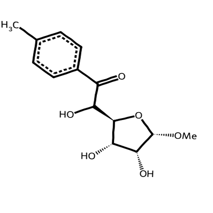 CO[C@H]1O[C@H](C(O)C(=O)c2ccc(C)cc2)[C@@H](O)[C@H]1O